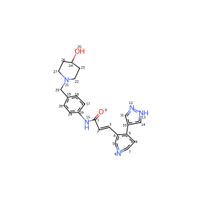 O=C(/C=C/c1cnccc1-c1cn[nH]c1)Nc1ccc(CN2CCC(O)CC2)cc1